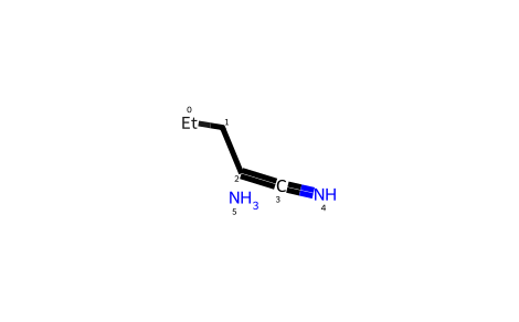 CCCC=C=N.N